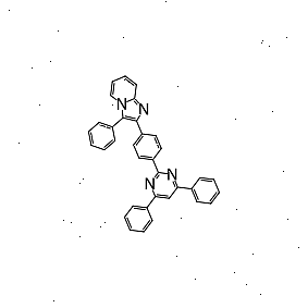 c1ccc(-c2cc(-c3ccccc3)nc(-c3ccc(-c4nc5ccccn5c4-c4ccccc4)cc3)n2)cc1